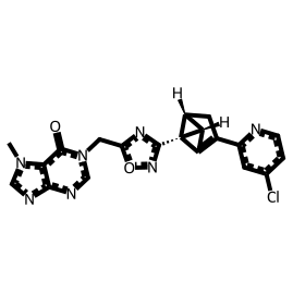 Cn1cnc2ncn(Cc3nc([C@]45C6=C(c7cc(Cl)ccn7)C[C@@H]4[C@H]65)no3)c(=O)c21